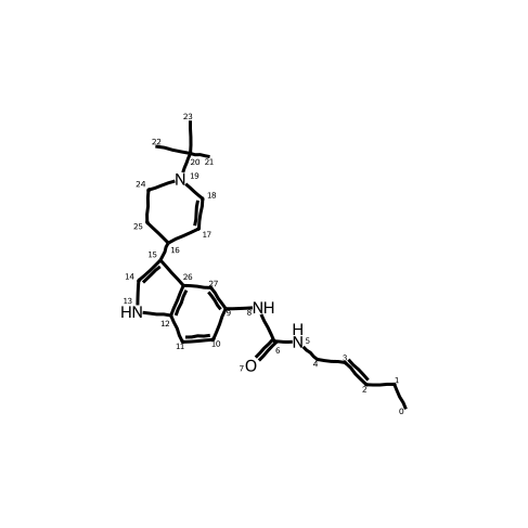 CC/C=C/CNC(=O)Nc1ccc2[nH]cc(C3C=CN(C(C)(C)C)CC3)c2c1